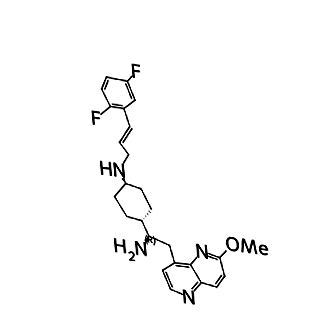 COc1ccc2nccc(C[C@@H](N)[C@H]3CC[C@H](NCC=Cc4cc(F)ccc4F)CC3)c2n1